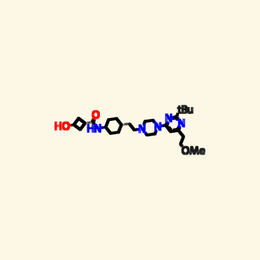 COCCc1cc(N2CCN(CC[C@H]3CC[C@H](NC(=O)[C@H]4C[C@H](O)C4)CC3)CC2)nc(C(C)(C)C)n1